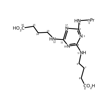 CCCNc1nc(NCCCC(=O)O)nc(NCCCC(=O)O)n1